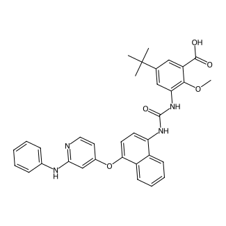 COc1c(NC(=O)Nc2ccc(Oc3ccnc(Nc4ccccc4)c3)c3ccccc23)cc(C(C)(C)C)cc1C(=O)O